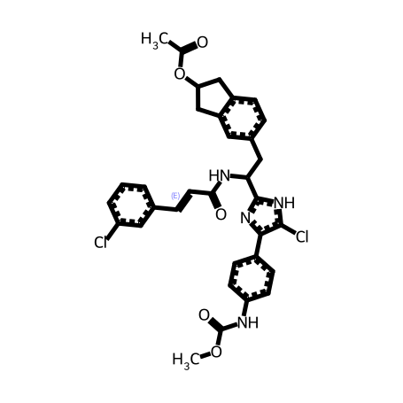 COC(=O)Nc1ccc(-c2nc(C(Cc3ccc4c(c3)CC(OC(C)=O)C4)NC(=O)/C=C/c3cccc(Cl)c3)[nH]c2Cl)cc1